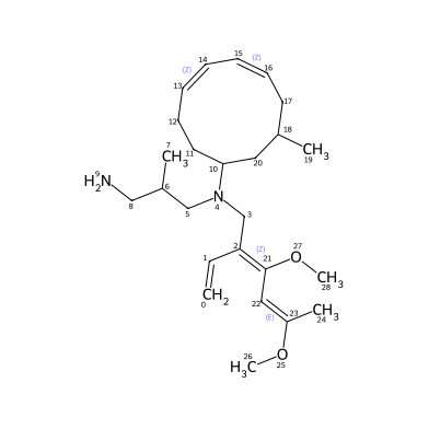 C=C/C(CN(CC(C)CN)C1CC/C=C\C=C/CC(C)C1)=C(\C=C(/C)OC)OC